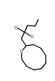 [CH2]CCC(Cl)(Cl)C[C]1CCCCCCCCO1